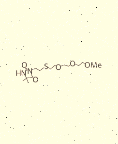 COCCOCCOCCSCCN1C(=O)NC(C)(C)C1=O